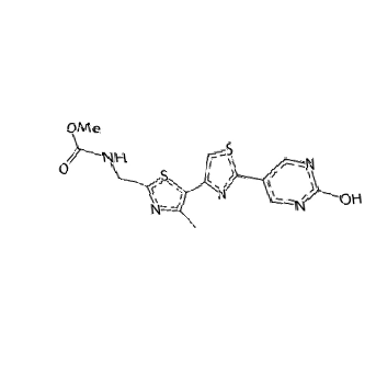 COC(=O)NCc1nc(C)c(-c2csc(-c3cnc(O)nc3)n2)s1